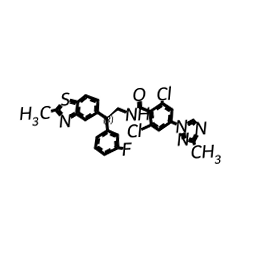 Cc1ncn(-c2cc(Cl)c(C(=O)NC[C@@H](c3cccc(F)c3)c3ccc4sc(C)nc4c3)c(Cl)c2)n1